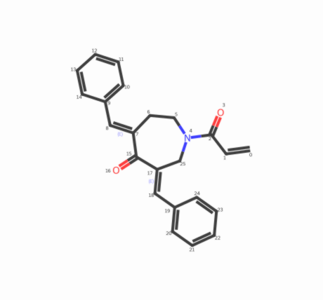 C=CC(=O)N1CC/C(=C\c2ccccc2)C(=O)/C(=C/c2ccccc2)C1